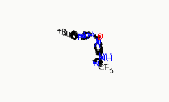 CC(C)(C)c1ccc(N2CCN(CCC(=O)N3CCC(Nc4ccnc(C(F)(F)F)c4)CC3)CC2)cc1